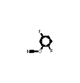 N#COc1cc(F)ccc1F